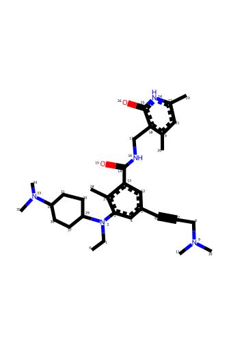 CCN(c1cc(C#CCN(C)C)cc(C(=O)NCc2c(C)cc(C)[nH]c2=O)c1C)C1CCC(N(C)C)CC1